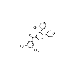 O=C(c1cc(C(F)(F)F)cc(C(F)(F)F)c1)N1CCC(N2CCOCC2)C(c2ccccc2Cl)C1